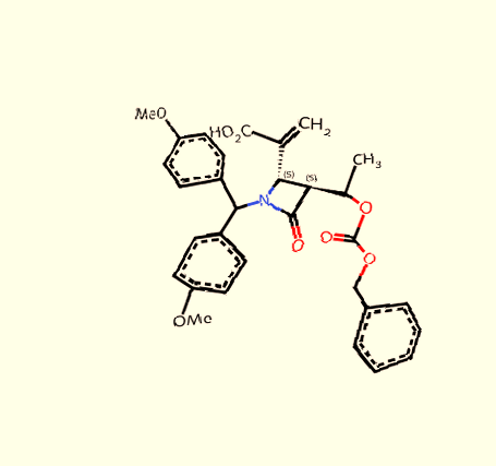 C=C(C(=O)O)[C@@H]1[C@@H](C(C)OC(=O)OCc2ccccc2)C(=O)N1C(c1ccc(OC)cc1)c1ccc(OC)cc1